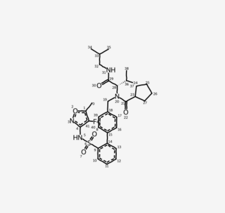 Cc1onc(NS(=O)(=O)c2ccccc2-c2ccc(CN(C(=O)C3CCCC3)[C@H](C(=O)NCC(C)C)C(C)C)cc2)c1F